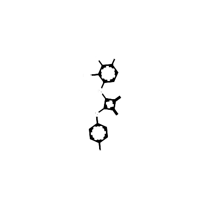 O=c1c(Nc2ccc(F)cc2)c(Nc2ccc(Cl)c(S)c2O)c1=O